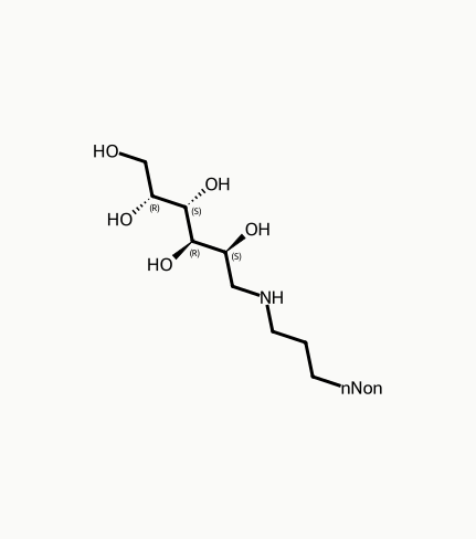 CCCCCCCCCCCCNC[C@H](O)[C@@H](O)[C@@H](O)[C@H](O)CO